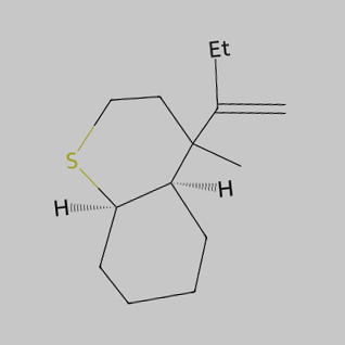 C=C(CC)C1(C)CCS[C@@H]2CCCC[C@@H]21